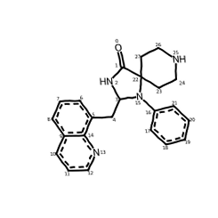 O=C1NC(Cc2cccc3cccnc23)N(c2ccccc2)C12CCNCC2